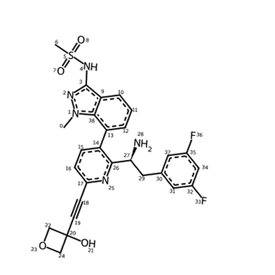 Cn1nc(NS(C)(=O)=O)c2cccc(-c3ccc(C#CC4(O)COC4)nc3[C@@H](N)Cc3cc(F)cc(F)c3)c21